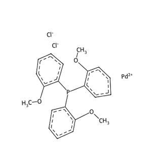 COc1ccccc1P(c1ccccc1OC)c1ccccc1OC.[Cl-].[Cl-].[Pd+2]